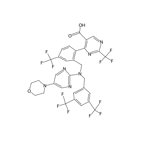 O=C(O)c1cnc(C(F)(F)F)nc1-c1ccc(C(F)(F)F)cc1CN(Cc1cc(C(F)(F)F)cc(C(F)(F)F)c1)c1ncc(N2CCOCC2)cn1